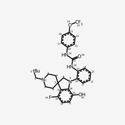 CC(C)(C)CN1CCC2(CC1)CN(c1ccccc1NC(=O)Nc1ccc(OC(F)(F)F)cc1)c1c(O)ccc(F)c12